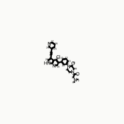 CN(C)CC(=O)N1CCN(c2cccc(-c3cnc4[nH]cc(C#Cc5cccnc5)c4c3Cl)c2)C(=O)C1